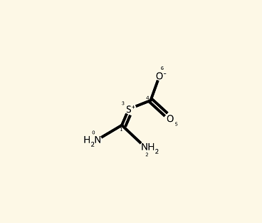 NC(N)=[S+]C(=O)[O-]